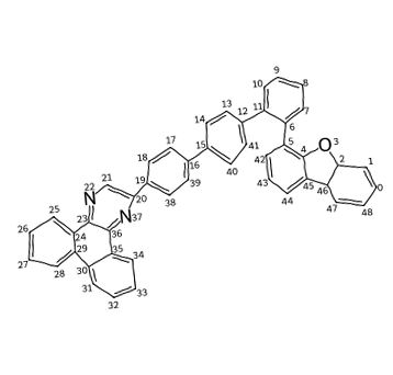 C1=CC2Oc3c(-c4ccccc4-c4ccc(-c5ccc(-c6cnc7c8ccccc8c8ccccc8c7n6)cc5)cc4)cccc3C2C=C1